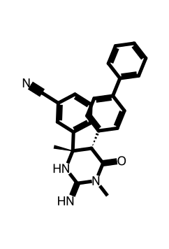 CN1C(=N)N[C@](C)(c2cccc(C#N)c2)[C@H](c2ccc(-c3ccccc3)cc2)C1=O